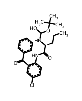 CCC[C@H](NC(O)OC(C)(C)C)C(=O)Nc1ccc(Cl)cc1C(=O)c1ccccc1